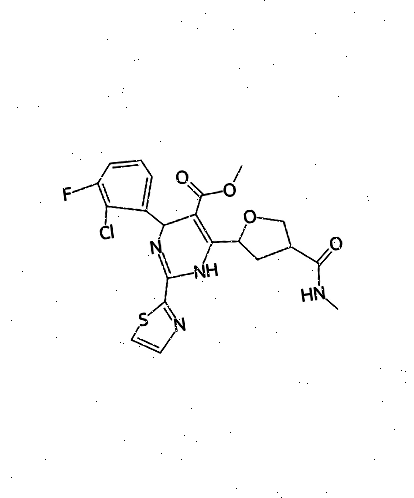 CNC(=O)C1COC(C2=C(C(=O)OC)C(c3cccc(F)c3Cl)N=C(c3nccs3)N2)C1